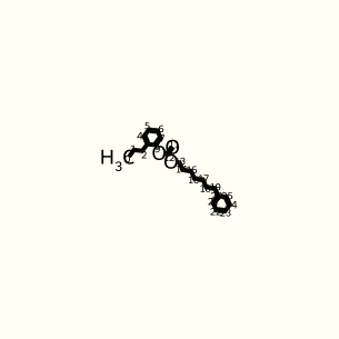 CCCc1ccccc1OC(=O)OCCCCCCCc1ccccc1